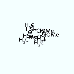 C=C[Si](OC)(OC)OC.C[SiH](C)O[SiH](C)C